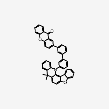 CC1(C)c2ccccc2N(c2cccc(-c3cccc(-c4ccc5oc6ccccc6c(=O)c5c4)c3)c2)c2c1ccc1oc3ccccc3c21